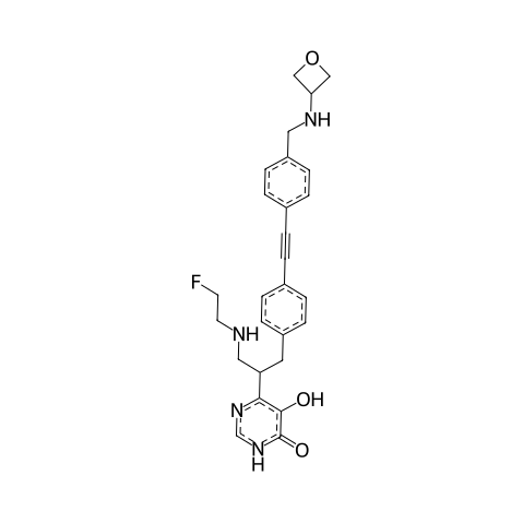 O=c1[nH]cnc(C(CNCCF)Cc2ccc(C#Cc3ccc(CNC4COC4)cc3)cc2)c1O